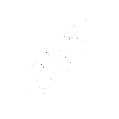 CC(C)(C)OC(=O)N(C1(CNc2nonc2-c2noc(=O)n2-c2ccc(F)c(Br)c2)CC1)S(N)(=O)=O